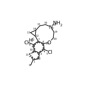 Cc1cc2c(Cl)c3c(c(Cl)c2s1)[C@H]1CC1CCN(N)CCO3